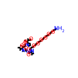 CCC(C)C(C(CC(=O)N1CCCC1C(OC)C(C)C=O)OC)N(C)C(=O)CNC(=O)C(C(C)C)N(C)C(=O)CCOCCOCCOCCOCCOCCOCCN